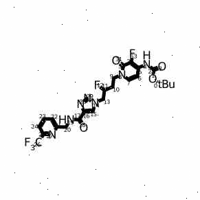 CC(C)(C)OC(=O)Nc1ccn(CCC(F)Cn2cc(C(=O)NCc3cccc(C(F)(F)F)n3)nn2)c(=O)c1F